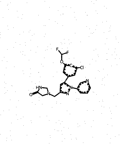 O=C1CN(Cc2cc(-c3cc(Cl)cc(OC(F)F)c3)n(-c3cccnc3)n2)CN1